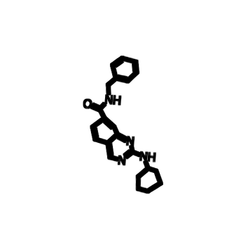 O=C(NCc1ccccc1)c1ccc2cnc(NC3CCCCC3)nc2c1